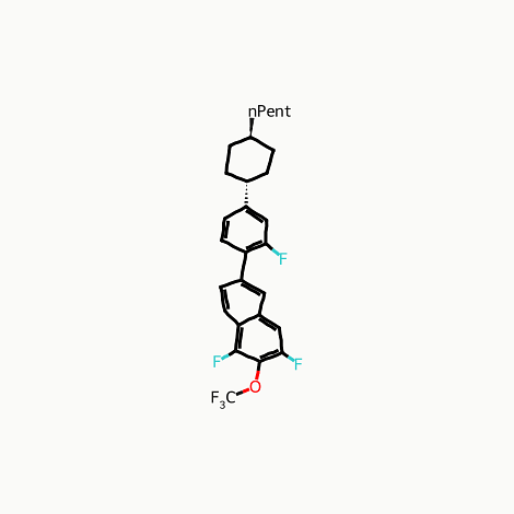 CCCCC[C@H]1CC[C@H](c2ccc(-c3ccc4c(F)c(OC(F)(F)F)c(F)cc4c3)c(F)c2)CC1